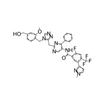 COc1cc(CO)ccc1Cn1cnnc1Cc1ncc(NC(=O)c2cc(-c3ccn(C)n3)c(C(F)(F)F)cc2F)c(-c2ccccc2)n1